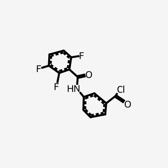 O=C(Cl)c1cccc(NC(=O)c2c(F)ccc(F)c2F)c1